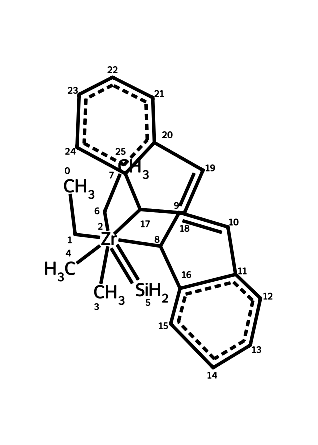 C[CH2][Zr]([CH3])([CH3])(=[SiH2])([CH2]C)([CH]1C=Cc2ccccc21)[CH]1C=Cc2ccccc21